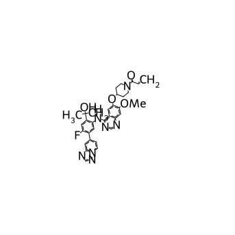 C=CC(=O)N1CCC(Oc2cc3c(Nc4cc(-c5ccn6ncnc6c5)c(F)cc4C(C)(C)O)ncnc3cc2OC)CC1